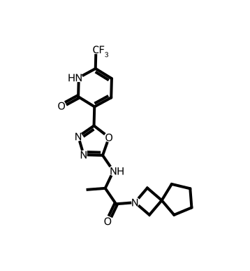 CC(Nc1nnc(-c2ccc(C(F)(F)F)[nH]c2=O)o1)C(=O)N1CC2(CCCC2)C1